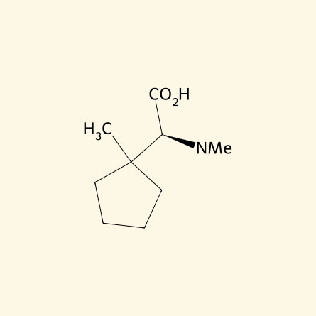 CN[C@H](C(=O)O)C1(C)CCCC1